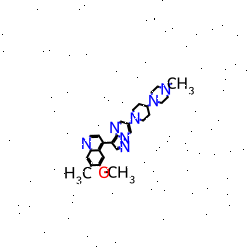 COc1cc2c(-c3cnn4cc(N5CCC(N6CCN(C)CC6)CC5)cnc34)ccnc2cc1C